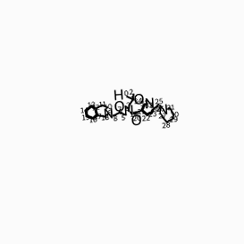 CC1(C)CN(CC(O)CN2CCc3ccccc3C2)C(=O)c2ccc(CN3CCCCC3)nc2O1